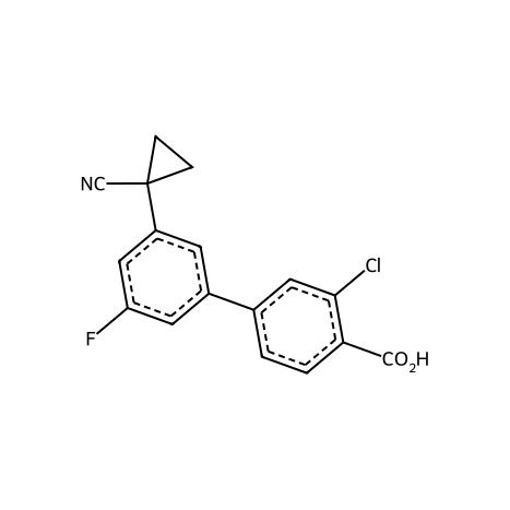 N#CC1(c2cc(F)cc(-c3ccc(C(=O)O)c(Cl)c3)c2)CC1